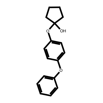 OC1(Oc2ccc(Oc3ccccc3)cc2)CCCC1